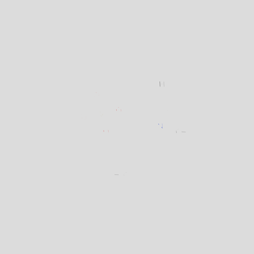 CCCC[N+]1(C)CCCCC1.O=S(=O)([O-])[O-].[H+]